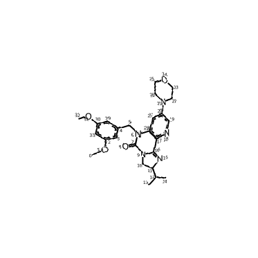 COc1cc(CN2C(=O)N3CC(C(C)C)N=C3c3ncc(N4CCOCC4)cc32)cc(OC)c1